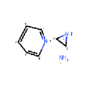 C1CN1.N.c1ccncc1